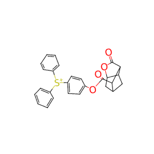 O=C(Oc1ccc([S+](c2ccccc2)c2ccccc2)cc1)C1C2CC3OC(=O)C1C3C2